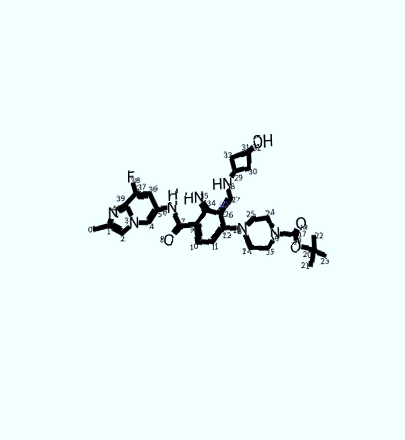 Cc1cn2cc(NC(=O)C3=CC=C(N4CCN(C(=O)OC(C)(C)C)CC4)/C(=C/NC4CC(O)C4)C3=N)cc(F)c2n1